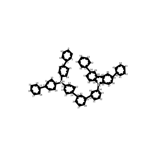 c1ccc(-c2ccc(N(c3ccc(-c4ccccc4)cc3)c3ccc(-c4cccc(-c5cccc(-n6c7ccc(-c8ccccc8)cc7c7cc(-c8ccccc8)ccc76)c5)c4)cc3)cc2)cc1